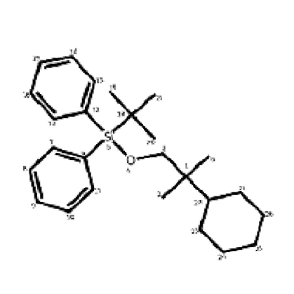 CC(C)(CO[Si](c1ccccc1)(c1ccccc1)C(C)(C)C)C1CCCCC1